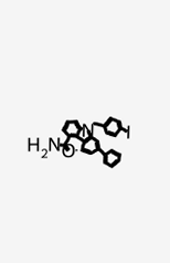 NC(=O)c1cccc2c1c1[c]cc(-c3ccccc3)cc1n2Cc1ccc(I)cc1